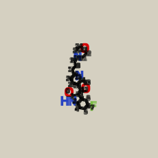 O=C1Nc2ccc(F)cc2C1=C1OCc2nc(CCCN3CCOCC3)ccc21